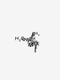 COCCOC1C=c2ncnc(NC3C=C(C#CI)C=CC3)c2=CC1OCCOC